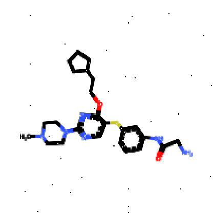 CN1CCN(c2ncc(Sc3cccc(NC(=O)CN)c3)c(OCCC3CCCC3)n2)CC1